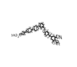 CCOc1c(Cl)cc(C(C)(C)c2ccc(OCc3ccnc(N4CCN(C5CCN(C6CN(C(=O)O)C6)CC5)CC4)n3)cc2)cc1C#N